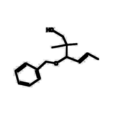 CC=CC(OCc1ccccc1)C(C)(C)CO